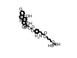 C[C@]12C=CC(=O)C=C1CC[C@H]1[C@@H]3C[C@@H](O)[C@](O)(C(=O)COC(=O)Oc4ccc(C[C@H](N)C(=O)OCCCCON(O)O)cc4)[C@@]3(C)C[C@H](O)[C@@]12F